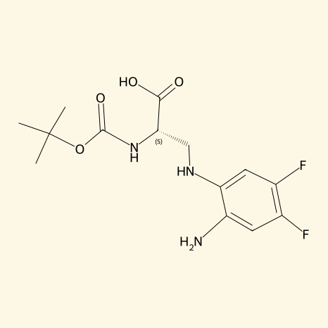 CC(C)(C)OC(=O)N[C@@H](CNc1cc(F)c(F)cc1N)C(=O)O